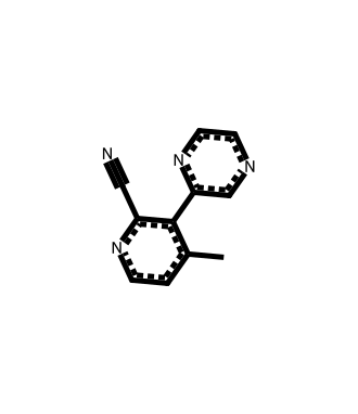 Cc1ccnc(C#N)c1-c1cnccn1